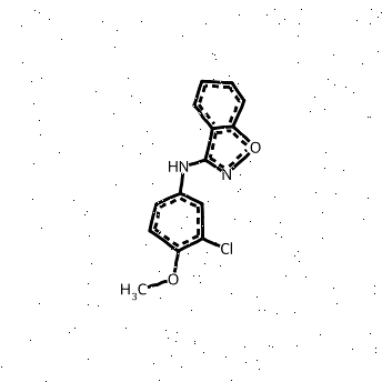 COc1ccc(Nc2noc3ccccc23)cc1Cl